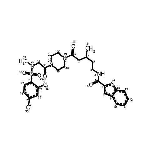 CC(CCNC(=O)c1cc2ccccc2s1)CC(=O)N1CCN(C(=O)CN(C)S(=O)(=O)c2ccc(Cl)cc2Cl)CC1